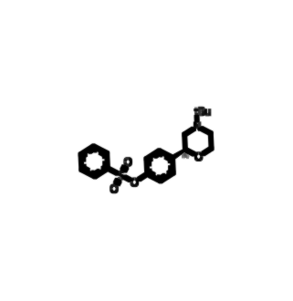 CC(C)(C)N1CCO[C@@H](c2ccc(OS(=O)(=O)c3ccccc3)cc2)C1